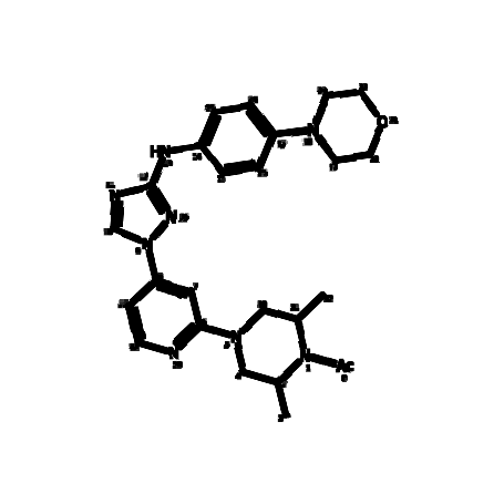 CC(=O)N1C(C)CN(c2cc(-n3cnc(Nc4ccc(N5CCOCC5)cc4)n3)ccn2)CC1C